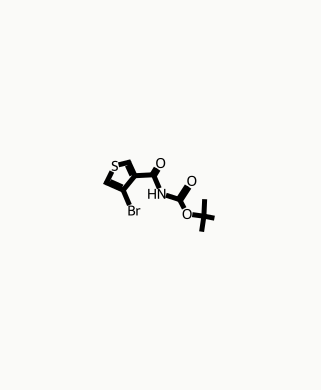 CC(C)(C)OC(=O)NC(=O)c1cscc1Br